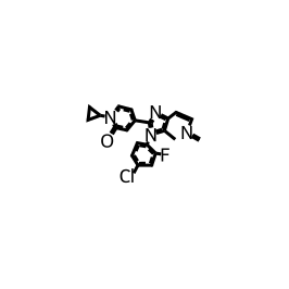 C=N/C=C\c1nc(-c2ccn(C3CC3)c(=O)c2)n(-c2ccc(Cl)cc2F)c1C